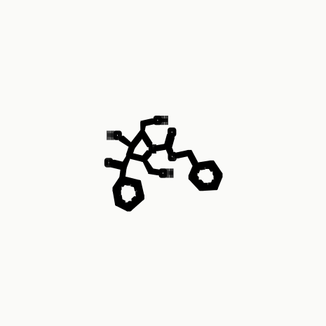 O=C(c1ccccc1)[C@H]1[C@@H](O)[C@@H](CO)N(C(=O)OCc2ccccc2)[C@H]1CO